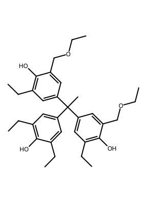 CCOCc1cc(C(C)(c2cc(CC)c(O)c(CC)c2)c2cc(CC)c(O)c(COCC)c2)cc(CC)c1O